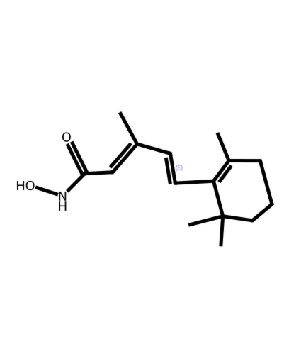 CC(=CC(=O)NO)/C=C/C1=C(C)CCCC1(C)C